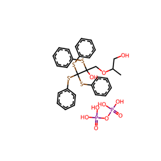 CC(CO)OCC(O)(Sc1ccccc1)C(Sc1ccccc1)(Sc1ccccc1)Sc1ccccc1.O=P(O)(O)OP(=O)(O)O